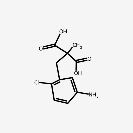 CC(Cc1cc(N)ccc1Cl)(C(=O)O)C(=O)O